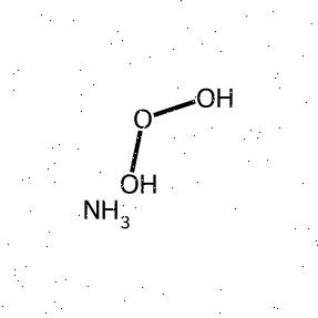 N.OOO